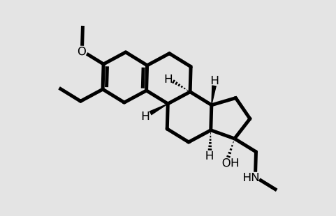 CCC1=C(OC)CC2=C(C1)[C@H]1CC[C@H]3[C@@H](CC[C@@]3(O)CNC)[C@@H]1CC2